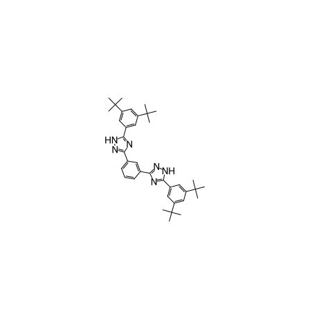 CC(C)(C)c1cc(-c2nc(-c3cccc(-c4n[nH]c(-c5cc(C(C)(C)C)cc(C(C)(C)C)c5)n4)c3)n[nH]2)cc(C(C)(C)C)c1